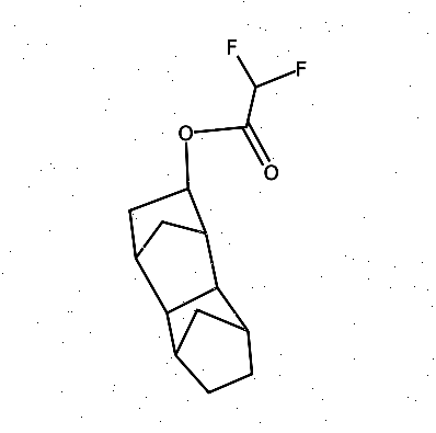 O=C(OC1CC2CC1C1C3CCC(C3)C21)C(F)F